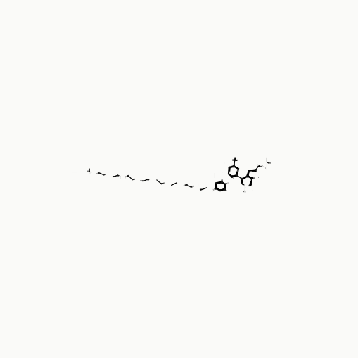 CCNC(=O)c1cc2c(-c3cc(C(C)(C)O)ccc3Oc3c(C)cc(OCCOCCOCCOCCOCCOCCOCCOCCO[C@H](C)I)cc3C)cn(C)c(=O)c2[nH]1